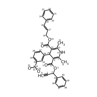 C#CC(OC(=O)C1=C(C)NC(C)=C(C(=O)OCC=Cc2ccccc2)C1c1cccc([N+](=O)[O-])c1)c1ccccc1